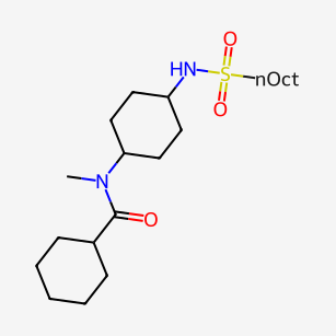 CCCCCCCCS(=O)(=O)NC1CCC(N(C)C(=O)C2CCCCC2)CC1